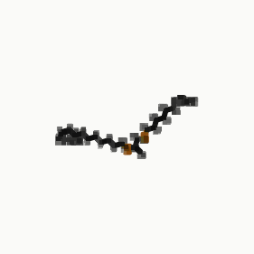 CCCCCC/C=C\CCCCCCCCSC(C)CSCCCCCCCCCCCCCCCC